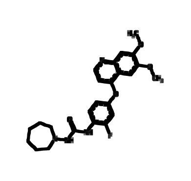 COc1cc2nccc(Oc3ccc(NC(=O)NN4CCCCCC4)c(F)c3)c2cc1OC